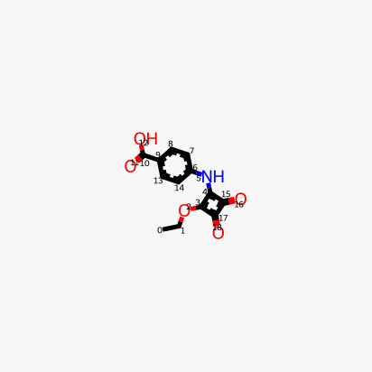 CCOc1c(Nc2ccc(C(=O)O)cc2)c(=O)c1=O